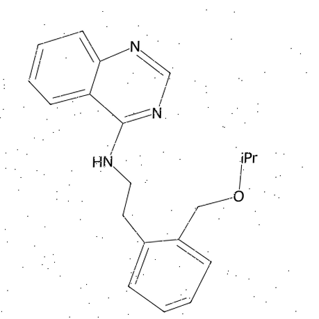 CC(C)OCc1ccccc1CCNc1ncnc2ccccc12